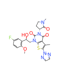 COc1ccc(F)cc1[C@@H](O)Cn1c(=O)n([C@@H]2CCN(C)C2=O)c(=O)c2c(C)c(-n3nccn3)sc21